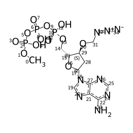 COP(=O)(O)OP(=O)(O)OP(=O)(O)OC[C@H]1O[C@@H](n2cnc3c(N)ncnc32)C[C@@H]1OCN=[N+]=[N-]